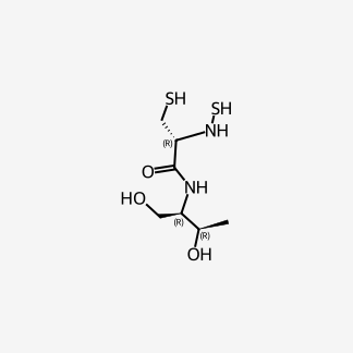 C[C@@H](O)[C@@H](CO)NC(=O)[C@H](CS)NS